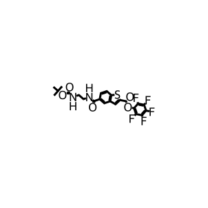 CC(C)(C)OC(=O)NCCNC(=O)c1ccc2sc(C(=O)Oc3c(F)c(F)c(F)c(F)c3F)cc2c1